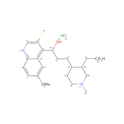 COc1ccc2ncc(F)c(C(O)CCC3CCN(C)CC3CC(=O)O)c2c1.Cl